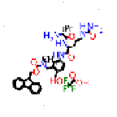 CC(C)[C@H](N)C(=O)N[C@@H](CCCNC(N)=O)C(=O)Nc1ccc(CO)c(CN(C)C(=O)OCC2c3ccccc3-c3ccccc32)c1.O=C(O)C(F)(F)F